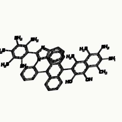 Bc1c(B)c(B)c(-c2nc3ccccc3n2-c2ccccc2-c2c3ccccc3c(-c3c(O)c(O)c4c(C)c(B)c(B)c(B)c4c3B)c3ccccc23)c(B)c1B